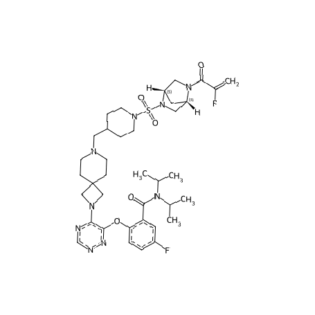 C=C(F)C(=O)N1C[C@@H]2C[C@H]1CN2S(=O)(=O)N1CCC(CN2CCC3(CC2)CN(c2ncnnc2Oc2ccc(F)cc2C(=O)N(C(C)C)C(C)C)C3)CC1